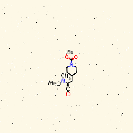 CON(C)C(=C=O)CC1CCN(C(=O)OC(C)(C)C)CC1